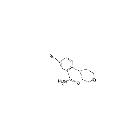 NC(=O)c1cc(Br)ccc1C1CCOCC1